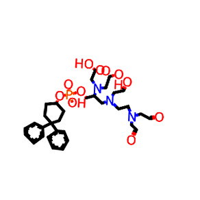 O=CCN(CC=O)CCN(CC=O)CC(COP(=O)(O)OC1CCC(c2ccccc2)(c2ccccc2)CC1)N(CC(=O)O)CC(=O)O